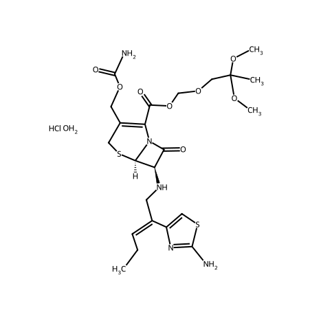 CC/C=C(/CN[C@@H]1C(=O)N2C(C(=O)OCOCC(C)(OC)OC)=C(COC(N)=O)CS[C@H]12)c1csc(N)n1.Cl.O